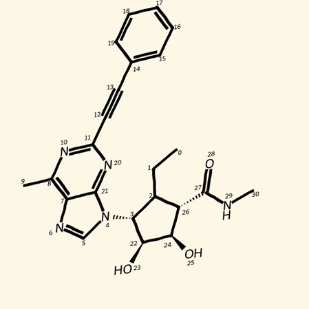 CCC1[C@@H](n2cnc3c(C)nc(C#Cc4ccccc4)nc32)[C@H](O)[C@H](O)[C@H]1C(=O)NC